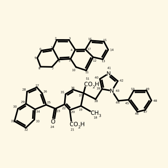 C1=c2ccc3c(c2CCC1)CC=c1ccccc1=3.CC1C(C(=O)O)=C(C(=O)c2cccc3ccccc23)C=CC1(Cc1cncn1Cc1ccccc1)C(=O)O